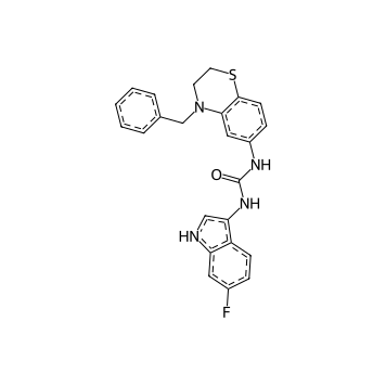 O=C(Nc1ccc2c(c1)N(Cc1ccccc1)CCS2)Nc1c[nH]c2cc(F)ccc12